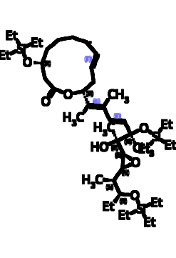 CC[C@H](O[Si](CC)(CC)CC)[C@@H](C)[C@@H]1O[C@@H]1[C@@](C)(O)[C@@](C)(/C=C/C(C)=C(\C)[C@H]1C/C=C/[CH]CCC[C@@H](O[Si](CC)(CC)CC)CC(=O)O1)O[Si](CC)(CC)CC